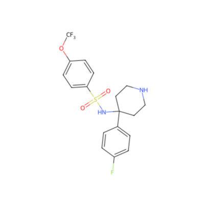 O=S(=O)(NC1(c2ccc(F)cc2)CCNCC1)c1ccc(OC(F)(F)F)cc1